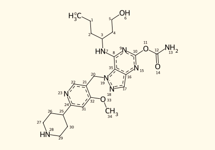 CCCC(CCO)Nc1nc(OC(N)=O)nc2cnn(Cc3cnc(C4CCNCC4)cc3OC)c12